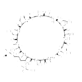 CC(C)C[C@@H]1C(=O)N(C)[C@H](CC(C)C)C(=O)N(C)[C@H](C(C)C)C(=O)N(C)[C@H]([C@H](O[Si](C)(C)C(C)(C)C)[C@H](C)CCOS(C)=O)C(=O)N[C@H](C(C)C)C(=O)N(C)CC(=O)N(C)[C@@H](CC(C)C)C(=O)N[C@H](C(C)C)C(=O)N(C)[C@H](CC(C)C)C(=O)N[C@H](C)C(=O)N[C@@H](C)C(=O)N1C